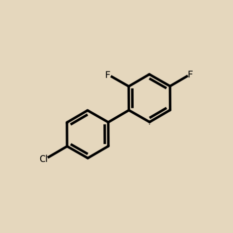 Fc1c[c]c(-c2ccc(Cl)cc2)c(F)c1